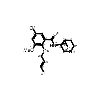 COc1cc(Cl)cc(C(=O)NC2CN3CCC2CC3)c1OCC=CI